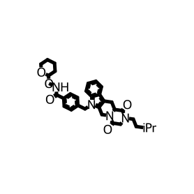 CC(C)CCN1CC(=O)N2Cc3c(c4ccccc4n3Cc3ccc(C(=O)NOC4CCCCO4)cc3)CC2C1=O